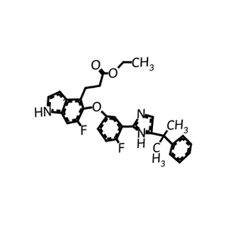 CCOC(=O)CCc1c(Oc2ccc(F)c(-c3ncc(C(C)(C)c4ccccc4)[nH]3)c2)c(F)cc2[nH]ccc12